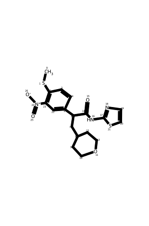 CSc1ccc(C(CC2CCOCC2)C(=O)Nc2nccs2)cc1[N+](=O)[O-]